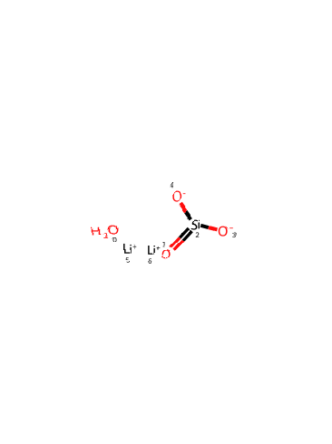 O.O=[Si]([O-])[O-].[Li+].[Li+]